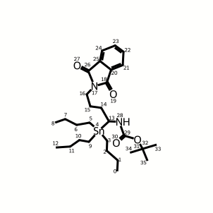 CCC[CH2][Sn]([CH2]CCC)([CH2]CCC)[CH](CCCN1C(=O)c2ccccc2C1=O)NC(=O)OC(C)(C)C